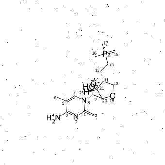 C=C1N=C(N)C(C)=CN1[C@@H]1O[C@@]2(CCP(=C)(C)C)COC1[C@@H]2O